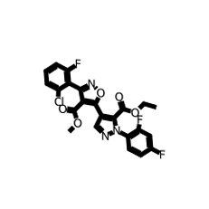 CCOC(=O)c1c(-c2onc(-c3c(F)cccc3Cl)c2C(=O)OC)cnn1-c1ccc(F)cc1F